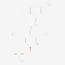 Cc1c(N=Nc2cc(N)ccc2S(=O)(=O)O)c(O)[nH]c(=O)c1CS(=O)(=O)O